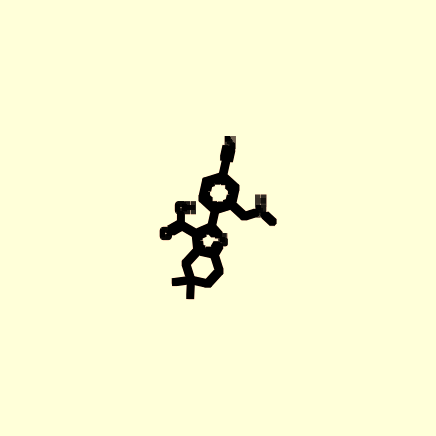 CNCc1cc(C#N)ccc1-c1sc2c(c1C(=O)O)CC(C)(C)CC2